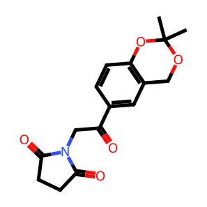 CC1(C)OCc2cc(C(=O)CN3C(=O)CCC3=O)ccc2O1